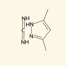 Cc1cc(C)[nH]n1.N=C=N